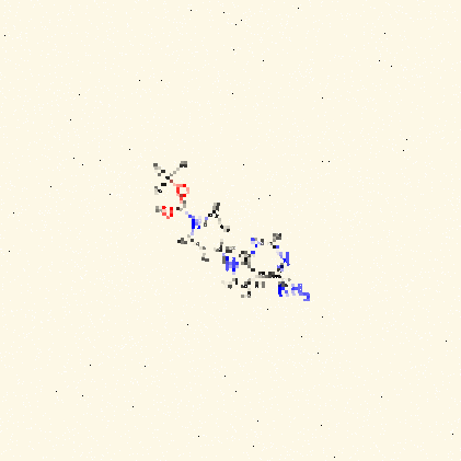 CC(C)(C)OC(=O)N1CCC(n2ccc3c(N)ncnc32)CC1